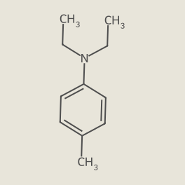 CCN(CC)c1ccc(C)cc1